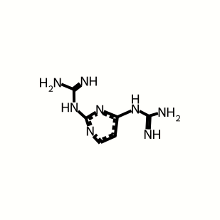 N=C(N)Nc1ccnc(NC(=N)N)n1